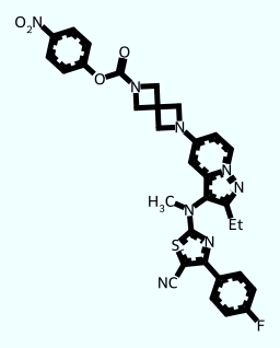 CCc1nn2ccc(N3CC4(CN(C(=O)Oc5ccc([N+](=O)[O-])cc5)C4)C3)cc2c1N(C)c1nc(-c2ccc(F)cc2)c(C#N)s1